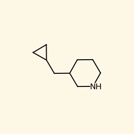 C1CNCC(CC2CC2)C1